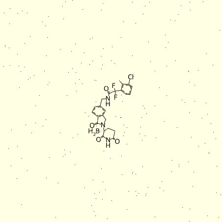 B[C@]1(N2Cc3cc(CNC(=O)C(F)(F)c4cccc(Cl)c4C)ccc3C2=O)CCC(=O)NC1=O